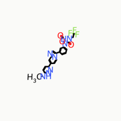 CNc1ccc(-c2ccn3c(-c4cccc(N(OC=O)C(=O)NCC(F)(F)F)c4)cnc3c2)nn1